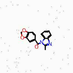 Cc1nc2ccccc2n1C(=O)c1ccc2c(c1)OCO2